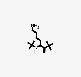 C=C(C(CCCCN)NC(C)(C)C)C(C)(C)C